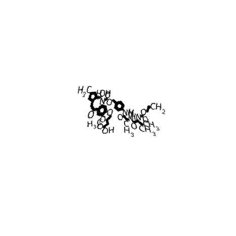 C=CCOC(=O)N[C@H](C(=O)NC(C)C(=O)Nc1ccc(COC(=O)N2c3cc(OCCCC(=O)O)c(OC)cc3C(=O)CC3CC(=C)C[C@H]3C2O)cc1)C(C)C